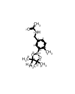 CC(=O)NCc1ccc(C)c(B2OC(C)(C)C(C)(C)O2)c1